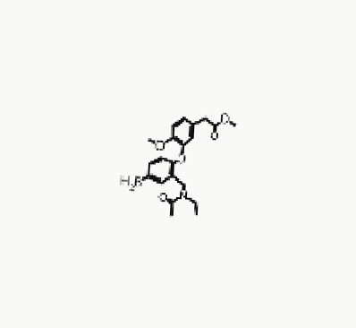 Bc1ccc(Oc2cc(CC(=O)OC)ccc2OC)c(CN(CC)C(C)=O)c1